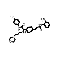 Nc1ccccc1NC(=O)/C=C/c1ccc(C(NCCCN2CCOCC2)C(=O)Nc2ccc(C(F)(F)F)cc2)cc1